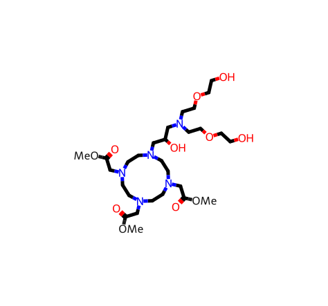 COC(=O)CN1CCN(CC(=O)OC)CCN(CC(O)CN(CCOCCO)CCOCCO)CCN(CC(=O)OC)CC1